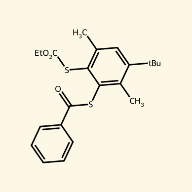 CCOC(=O)Sc1c(C)cc(C(C)(C)C)c(C)c1SC(=O)c1ccccc1